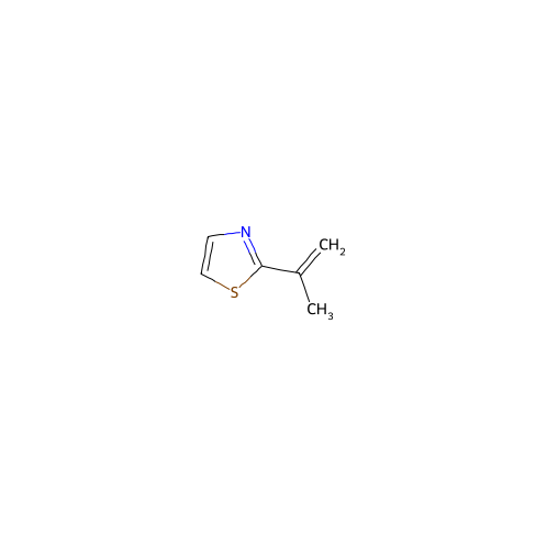 C=C(C)c1nccs1